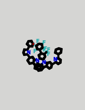 Fc1c(F)c(F)c(-c2cc(-n3c4ccccc4c4ccc(-c5cccc(-c6ccccc6)n5)cc43)c(-n3c4ccccc4c4ccc(-c5cccc(-c6ccccc6)n5)cc43)cc2C(F)(F)F)c(F)c1F